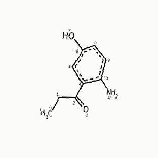 CCC(=O)c1cc(O)ccc1N